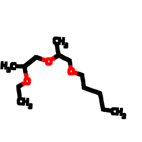 CCCCCOCC(C)OCC(C)OCC